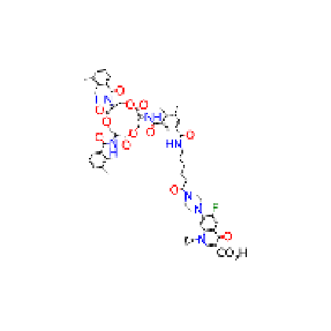 Cc1cccc(C(=O)N[C@H]2COC(=O)[C@@H](NC(=O)c3cccc(C)c3C)COC(=O)[C@@H](NC(=O)c3cc(C(=O)NCCCCCC(=O)N4CCN(c5cc6c(cc5F)c(=O)c(C(=O)O)cn6C5CC5)CC4)cc(C)c3C)COC2=O)c1C